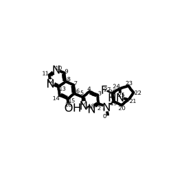 CN(c1ccc(-c2cc3cncnc3cc2O)nn1)[C@@H]1CC2CCC(N2)[C@@H]1F